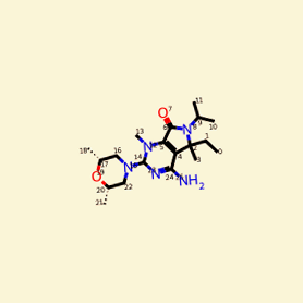 CCC1(C)C2=C(C(=O)N1C(C)C)N(C)C(N1C[C@@H](C)O[C@@H](C)C1)N=C2N